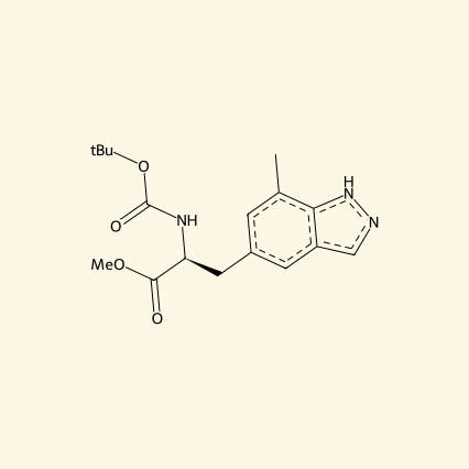 COC(=O)[C@H](Cc1cc(C)c2[nH]ncc2c1)NC(=O)OC(C)(C)C